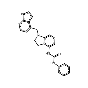 O=C(Nc1ccccc1)Nc1cccc2c1CCN2Cc1ccnc2[nH]ccc12